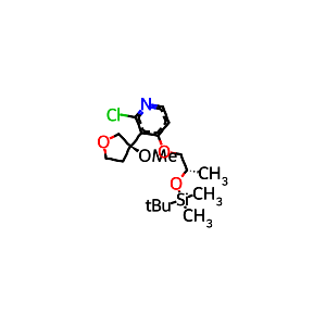 CO[C@@]1(c2c(OC[C@H](C)O[Si](C)(C)C(C)(C)C)ccnc2Cl)CCOC1